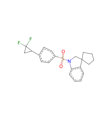 O=S(=O)(c1ccc(C2CC2(F)F)cc1)N1CC2(CCCC2)c2ccccc21